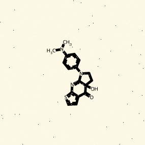 CN(C)c1ccc(N2CCC3(O)C(=O)c4ccsc4N=C23)cc1